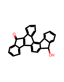 O=C1c2ccccc2-c2c1c1ccccc1c1c3c(ccc21)C(O)c1ccccc1-3